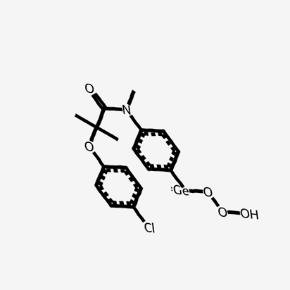 CN(C(=O)C(C)(C)Oc1ccc(Cl)cc1)c1cc[c]([Ge][O]OO)cc1